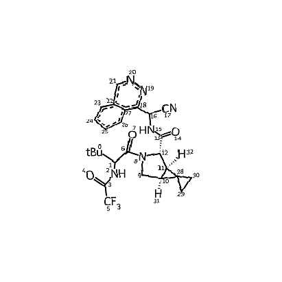 CC(C)(C)C(NC(=O)C(F)(F)F)C(=O)N1C[C@H]2[C@@H]([C@H]1C(=O)NC(C#N)c1nncc3ccccc13)C21CC1